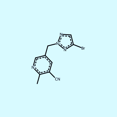 Cc1ncc(Cn2ncc(Br)n2)cc1C#N